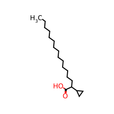 CCCCCCCCCCCCCCC(C(=O)O)C1CC1